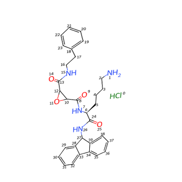 Cl.NCCCC[C@H](NC(=O)C1OC1C(=O)NCCc1ccccc1)C(=O)NC1c2ccccc2-c2ccccc21